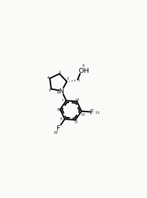 OC[C@H]1CCCN1c1[c]c(F)cc(F)c1